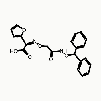 O=C(CON=C(C(=O)O)c1ccco1)NOC(c1ccccc1)c1ccccc1